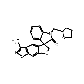 Cc1noc2cc3c(cc12)C1(CO3)C(=O)N(CC2CCCO2)c2ccccc21